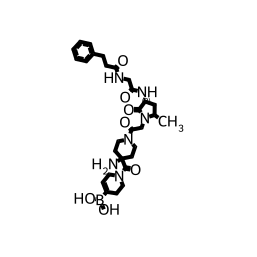 CC1C[C@@H](NC(=O)CNC(=O)CCc2ccccc2)C(=O)N1CC(=O)N1CCC(N)(C(=O)N2CC=C(B(O)O)CC2)CC1